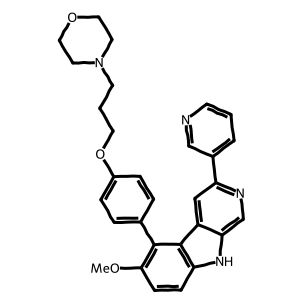 COc1ccc2[nH]c3cnc(-c4cccnc4)cc3c2c1-c1ccc(OCCCN2CCOCC2)cc1